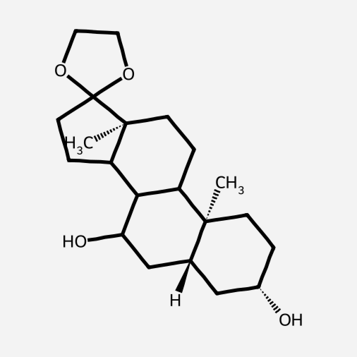 C[C@]12CCC3C(C(O)C[C@H]4C[C@@H](O)CC[C@]34C)C1CCC21OCCO1